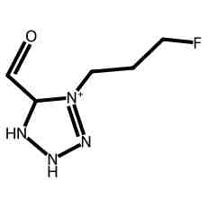 O=CC1NNN=[N+]1CCCF